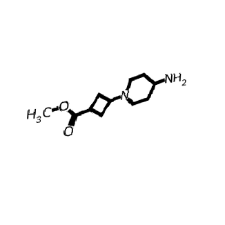 COC(=O)C1CC(N2CCC(N)CC2)C1